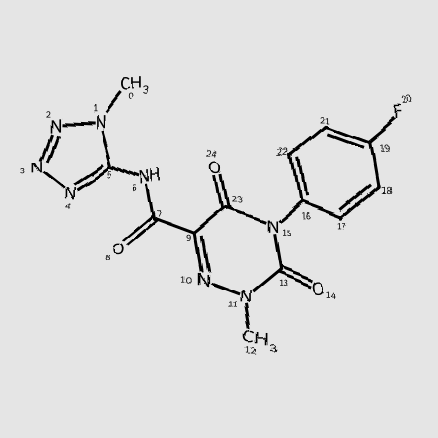 Cn1nnnc1NC(=O)c1nn(C)c(=O)n(-c2ccc(F)cc2)c1=O